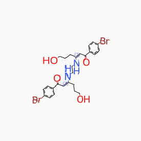 O=C(/C=C(/CCCO)NCCN/C(=C\C(=O)c1ccc(Br)cc1)CCCO)c1ccc(Br)cc1